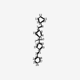 CC(C)(c1ccc(C=Cc2ccccc2)cc1)c1ccc(C=Cc2ccccc2)cc1